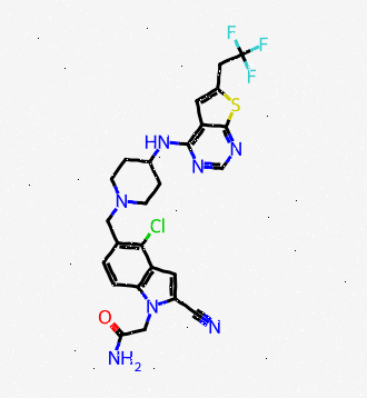 N#Cc1cc2c(Cl)c(CN3CCC(Nc4ncnc5sc(CC(F)(F)F)cc45)CC3)ccc2n1CC(N)=O